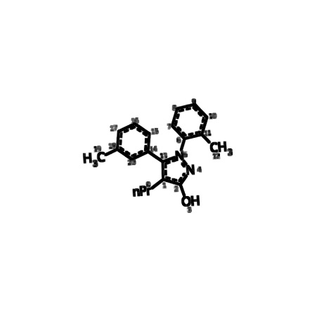 CCCc1c(O)nn(-c2ccccc2C)c1-c1cccc(C)c1